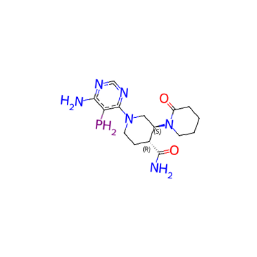 NC(=O)[C@@H]1CCN(c2ncnc(N)c2P)C[C@H]1N1CCCCC1=O